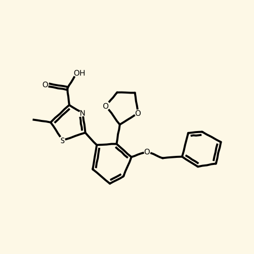 Cc1sc(-c2cccc(OCc3ccccc3)c2C2OCCO2)nc1C(=O)O